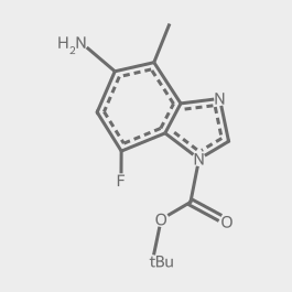 Cc1c(N)cc(F)c2c1ncn2C(=O)OC(C)(C)C